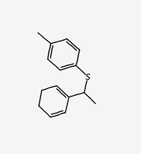 Cc1ccc(SC(C)C2=CCCC=C2)cc1